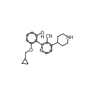 N#Cc1c(C2CCNCC2)ccnc1-c1c(O)cccc1OCC1CC1